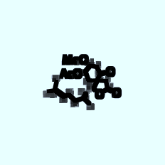 CO[C@H]1CC(=O)C2(CC(=O)O[C@@H]2/C=C(\C)CCC=C(C)C)C[C@@H]1OC(C)=O